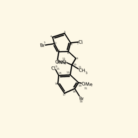 COc1c(Br)ccc(Cl)c1CC(C)(OC(C)=O)c1c(Cl)ccc(Br)c1OC